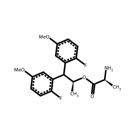 COc1ccc(F)c(C(c2cc(OC)ccc2F)[C@H](C)OC(=O)[C@H](C)N)c1